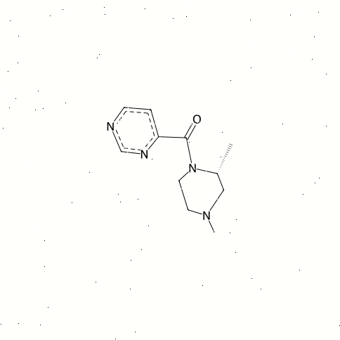 C[C@@H]1CN(C)CCN1C(=O)c1ccncn1